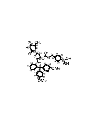 COc1ccc(C(OC[C@H]2O[C@@H](n3cc(C)c(=O)[nH]c3=O)C[C@@H]2OC(=O)OCc2ccc(B(O)O)cc2)(c2ccccc2)c2ccc(OC)cc2)cc1